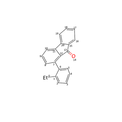 CCc1ccccc1-c1cccc2c1C(=O)c1ccccc1-2